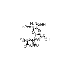 CCCCCC(=O)N(O[C@H]1C[C@H](n2cc([125I])c(=O)[nH]c2=O)O[C@@H]1CO)C(=N)N